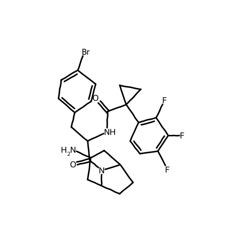 NC1CC2CCC(C1)N2C(=O)C(Cc1ccc(Br)cc1)NC(=O)C1(c2ccc(F)c(F)c2F)CC1